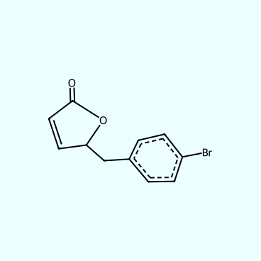 O=C1C=CC(Cc2ccc(Br)cc2)O1